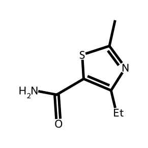 CCc1nc(C)sc1C(N)=O